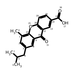 Cc1cc(CC(C)C)cc2c(=O)c3cc(C(=O)O)ccc3oc12